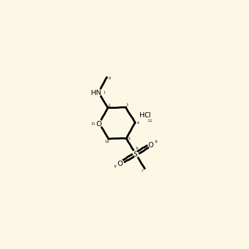 CNC1CCC(S(C)(=O)=O)CO1.Cl